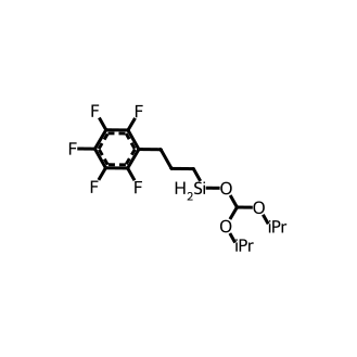 CC(C)OC(O[SiH2]CCCc1c(F)c(F)c(F)c(F)c1F)OC(C)C